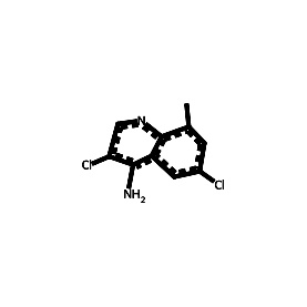 Cc1cc(Cl)cc2c(N)c(Cl)cnc12